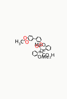 COc1ccccc1[C@H]1[C@H](C(=O)O)[C@H](c2ccccc2OC)[C@@H]1C(=O)Oc1cccc(-c2ccc3c(c2)OC(C)O3)c1